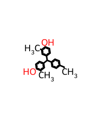 CCc1ccc(C(c2ccc(O)c(C)c2)c2ccc(O)c(C)c2)cc1